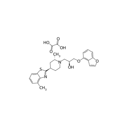 Cc1cccc2sc([C@@H]3CCN(C[C@H](O)COc4cccc5occc45)[C@@H](C)C3)nc12.O=C(O)C(=O)O